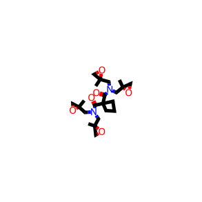 CC1(CN(CC2(C)CO2)C(=O)C2(C(=O)N(CC3(C)CO3)CC3(C)CO3)CCC2)CO1